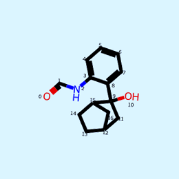 O=CNc1ccccc1C1(O)CC2CCC1C2